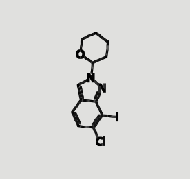 Clc1ccc2cn(C3CCCCO3)nc2c1I